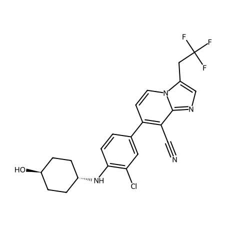 N#Cc1c(-c2ccc(N[C@H]3CC[C@H](O)CC3)c(Cl)c2)ccn2c(CC(F)(F)F)cnc12